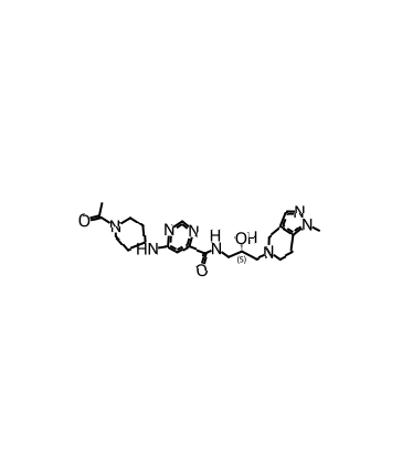 CC(=O)N1CCC(Nc2cc(C(=O)NC[C@H](O)CN3CCc4c(cnn4C)C3)ncn2)CC1